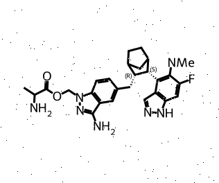 CNc1c(F)cc2[nH]ncc2c1[C@H]1C2CCC(C2)[C@H]1Cc1ccc2c(c1)c(N)nn2COC(=O)C(C)N